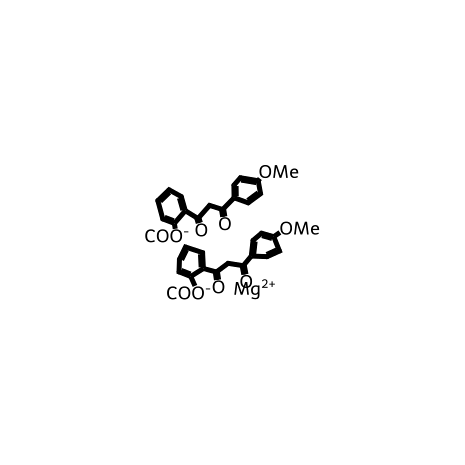 COc1ccc(C(=O)CC(=O)c2ccccc2C(=O)[O-])cc1.COc1ccc(C(=O)CC(=O)c2ccccc2C(=O)[O-])cc1.[Mg+2]